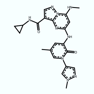 CNc1cc(Nc2cc(C)cn(-c3cnn(C)c3)c2=O)nc2c(C(=O)NC3CC3)cnn12